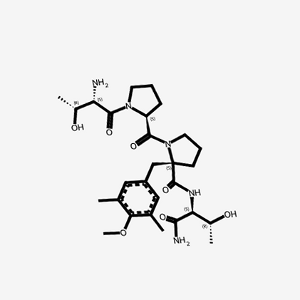 COc1c(C)cc(C[C@]2(C(=O)N[C@H](C(N)=O)[C@@H](C)O)CCCN2C(=O)[C@@H]2CCCN2C(=O)[C@@H](N)[C@@H](C)O)cc1C